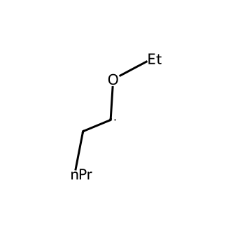 [CH2]CCC[CH]OCC